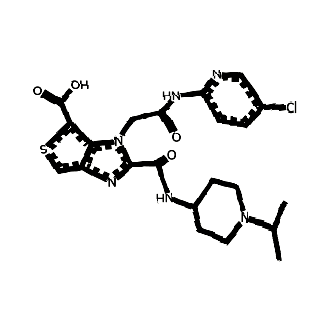 CC(C)N1CCC(NC(=O)c2nc3csc(C(=O)O)c3n2CC(=O)Nc2ccc(Cl)cn2)CC1